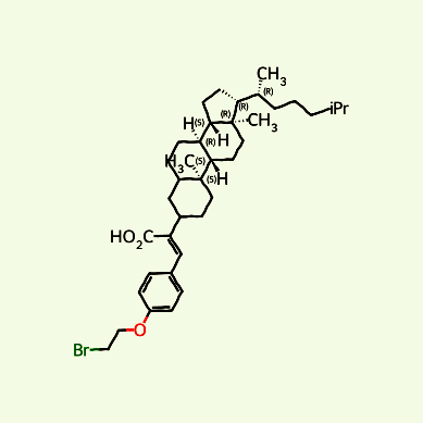 CC(C)CCC[C@@H](C)[C@H]1CC[C@H]2[C@@H]3CCC4CC(C(=Cc5ccc(OCCBr)cc5)C(=O)O)CC[C@]4(C)[C@H]3CC[C@]12C